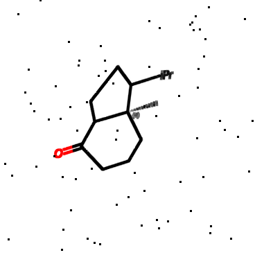 CC(C)C1CCC2C(=O)CCC[C@@]21C